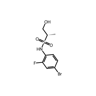 C[C@@H](CO)S(=O)(=O)Nc1ccc(Br)cc1F